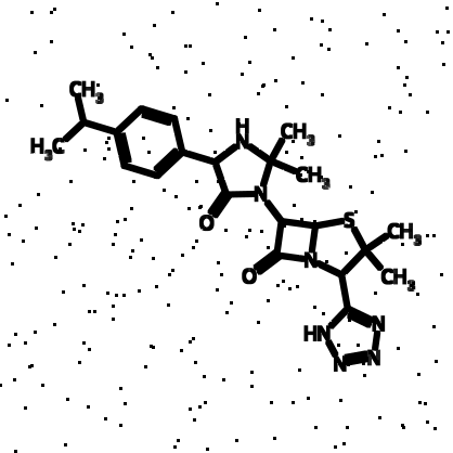 CC(C)c1ccc(C2NC(C)(C)N(C3C(=O)N4C3SC(C)(C)C4c3nnn[nH]3)C2=O)cc1